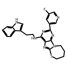 Fc1cncc(-c2nc(NCCc3c[nH]c4ccccc34)c3nc4n(c3n2)CCCCS4)c1